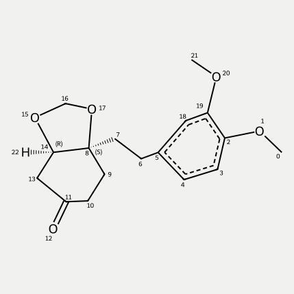 COc1ccc(CC[C@]23CCC(=O)C[C@H]2OCO3)cc1OC